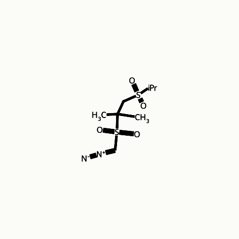 CC(C)S(=O)(=O)CC(C)(C)S(=O)(=O)C=[N+]=[N-]